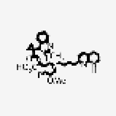 CO[C@H](CF)CN(CCCCc1ccc2c(n1)NCCC2)CC[C@H](NC(=O)C1(c2nc(C)nc3ccccc23)CC1)C(=O)O